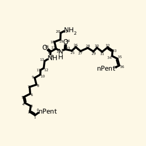 CCCCC/C=C\C/C=C\CCCCCCCCNC(=O)C(CCCN)NC(=O)CCCCCCC/C=C\C/C=C\CCCCC